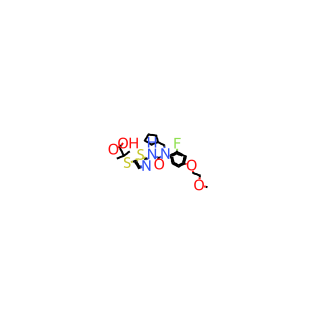 COCCOc1ccc(N(CC2CCCC2)C(=O)Nc2ncc(SC(C)(C)C(=O)O)s2)c(F)c1